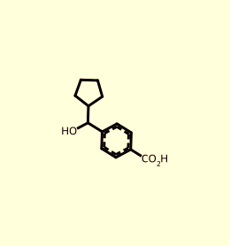 O=C(O)c1ccc(C(O)C2CCCC2)cc1